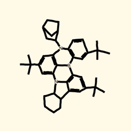 CC(C)(C)c1ccc2c(c1)B1c3cc(C(C)(C)C)cc4c3N(c3cc(C(C)(C)C)cc(c31)N2C1CC2CCC1C2)C1CCCCC41